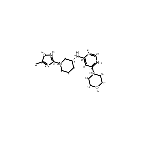 Cc1nc(N2CCC[C@@H](Nc3cc(N4CCOCC4)ncn3)C2)no1